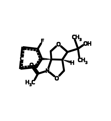 CC(=O)N1OC[C@@H]2C(C(C)(C)O)OC[C@@]21c1ccccc1F